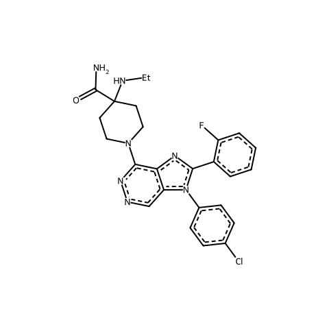 CCNC1(C(N)=O)CCN(c2nncc3c2nc(-c2ccccc2F)n3-c2ccc(Cl)cc2)CC1